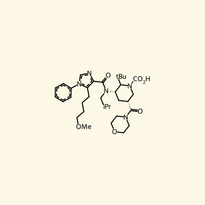 COCCCCc1c(C(=O)N(CC(C)C)[C@H]2C[C@@H](C(=O)N3CCOCC3)CN(C(=O)O)C2C(C)(C)C)ncn1-c1ccccc1